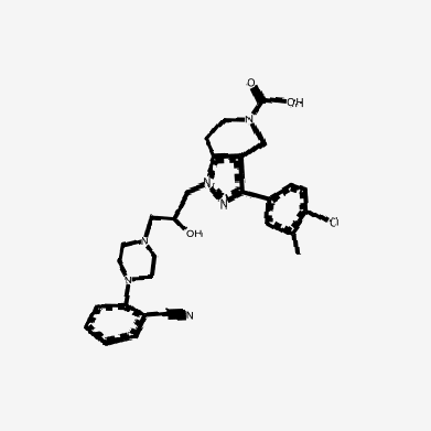 Cc1cc(-c2nn(CC(O)CN3CCN(c4ccccc4C#N)CC3)c3c2CN(C(=O)O)CC3)ccc1Cl